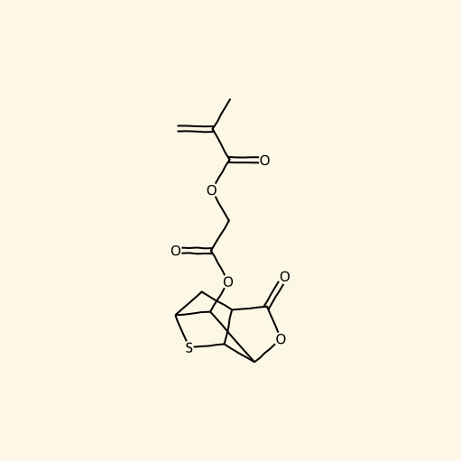 C=C(C)C(=O)OCC(=O)OC1C2CC3C(=O)OC1C3S2